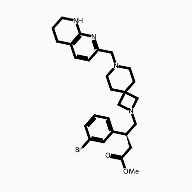 COC(=O)C[C@H](CN1CC2(CCN(Cc3ccc4c(n3)NCCC4)CC2)C1)c1cccc(Br)c1